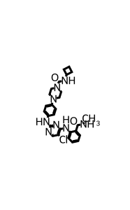 CNC(=O)c1ccccc1Nc1nc(Nc2ccc(N3CCN(C(=O)NC4CCC4)CC3)cc2)ncc1Cl